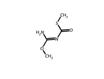 COC(N)=NC(=O)SC